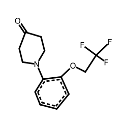 O=C1CCN(c2ccccc2OCC(F)(F)F)CC1